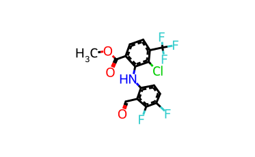 COC(=O)c1ccc(C(F)(F)F)c(Cl)c1Nc1ccc(F)c(F)c1C=O